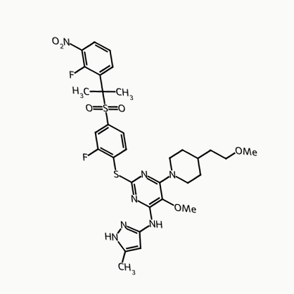 COCCC1CCN(c2nc(Sc3ccc(S(=O)(=O)C(C)(C)c4cccc([N+](=O)[O-])c4F)cc3F)nc(Nc3cc(C)[nH]n3)c2OC)CC1